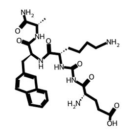 C[C@H](NC(=O)[C@H](Cc1ccc2ccccc2c1)NC(=O)[C@H](CCCCN)NC(=O)NC(=O)[C@@H](N)CCC(=O)O)C(N)=O